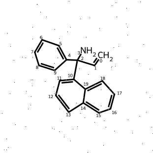 C=CC(N)(c1ccccc1)c1cccc2ccccc12